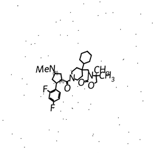 CN[C@@H]1CC(c2ccc(F)cc2F)[C@H](C(=O)N2CCC(CN3C(=O)OCC3(C)C)(C3CCCCC3)CC2)C1